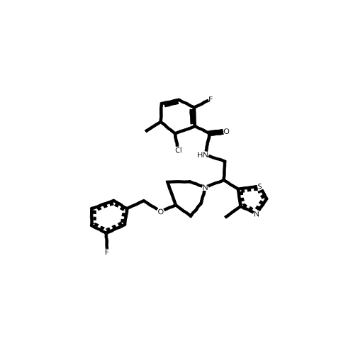 Cc1ncsc1C(CNC(=O)C1=C(F)C=CC(C)C1Cl)N1CCC(OCc2cccc(F)c2)CC1